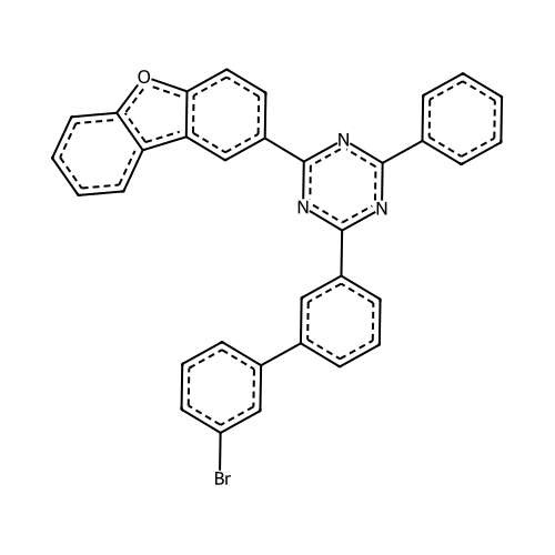 Brc1cccc(-c2cccc(-c3nc(-c4ccccc4)nc(-c4ccc5oc6ccccc6c5c4)n3)c2)c1